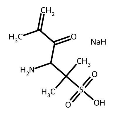 C=C(C)C(=O)C(N)C(C)(C)S(=O)(=O)O.[NaH]